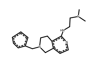 CN(C)CCNc1nccc2c1CCN(Cc1ccccc1)C2